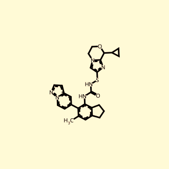 Cc1cc2c(c(NC(=O)NSc3cn4c(n3)C(C3CC3)OCC4)c1-c1ccn3nccc3c1)CCC2